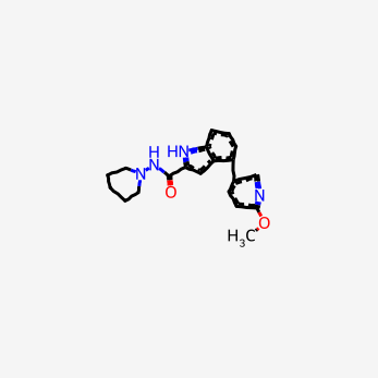 COc1ccc(-c2cccc3[nH]c(C(=O)NN4CCCCC4)cc23)cn1